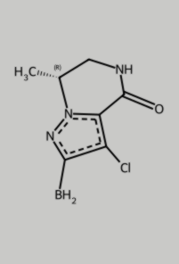 Bc1nn2c(c1Cl)C(=O)NC[C@H]2C